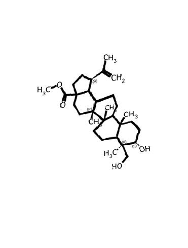 C=C(C)[C@@H]1CCC2(C(=O)OC)CC[C@]3(C)C(CCC4C5(C)CC[C@H](O)[C@@](C)(CO)C5CCC43C)C12